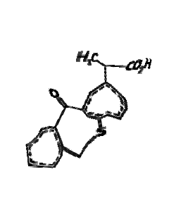 CC(c1ccc2c(c1)C(=O)c1ccccc1CS2)[13C](=O)O